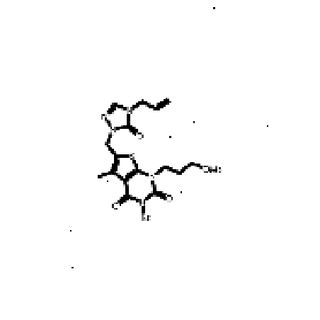 C=CCn1cnn(Cc2sc3c(c2C)c(=O)n(CC)c(=O)n3CCCOC)c1=O